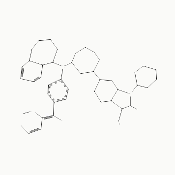 C/C=C\C(OCC)=C(/CC)c1ccc(N(C2CCCCC(C3CCC4C(CCC)C(C)N(C5CCCCC5)C4C3)C2)C2CCCCC3C=CC=CC32)cc1